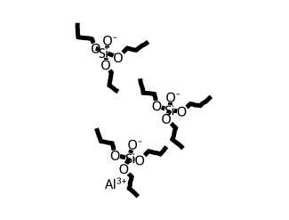 CCCO[Si]([O-])(OCCC)OCCC.CCCO[Si]([O-])(OCCC)OCCC.CCCO[Si]([O-])(OCCC)OCCC.[Al+3]